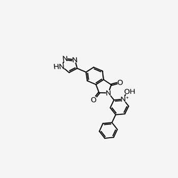 O=C1c2ccc(-c3c[nH]nn3)cc2C(=O)N1c1cc(-c2ccccc2)cc[n+]1O